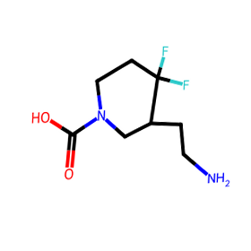 NCCC1CN(C(=O)O)CCC1(F)F